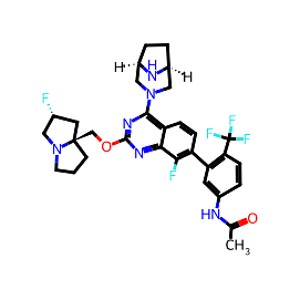 CC(=O)Nc1ccc(C(F)(F)F)c(-c2ccc3c(N4C[C@H]5CC[C@@H](C4)N5)nc(OC[C@@]45CCCN4C[C@H](F)C5)nc3c2F)c1